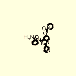 NC(=O)c1ccccc1Nc1nc(-c2cccnc2)nc2ccc(OCC(=O)N3CCCCC3)cc12